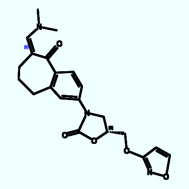 CN(C)/C=C1/CCCc2cc(N3C[C@H](COc4ccon4)OC3=O)ccc2C1=O